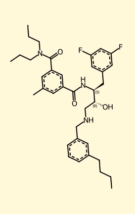 CCCCc1cccc(CNC[C@@H](O)[C@H](Cc2cc(F)cc(F)c2)NC(=O)c2cc(C)cc(C(=O)N(CCC)CCC)c2)c1